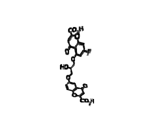 O=C(O)c1cc(=O)c2cc(OCC(O)COc3cc(F)cc4oc(C(=O)O)cc(=O)c34)ccc2o1